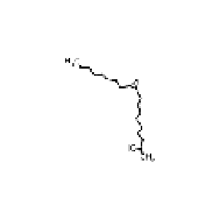 C=C(O)CCCCCCCC1OC1CCCCCCCC